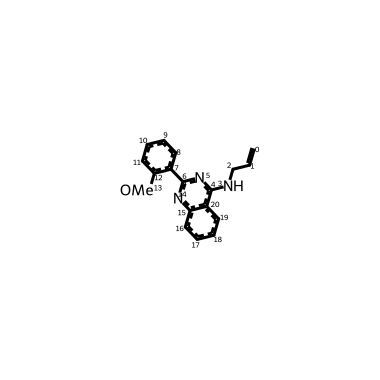 C=CCNc1nc(-c2ccccc2OC)nc2ccccc12